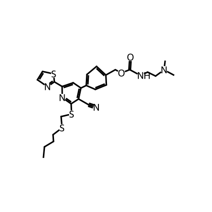 CCCCSCSc1nc(-c2nccs2)cc(-c2ccc(COC(=O)NCCN(C)C)cc2)c1C#N